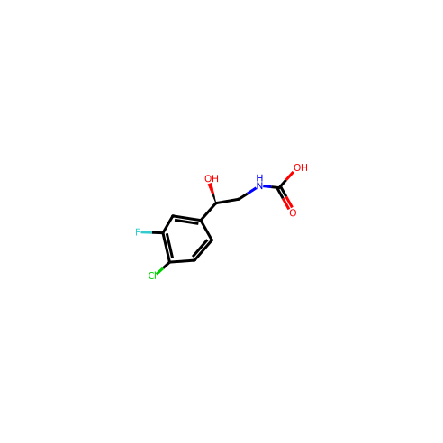 O=C(O)NC[C@H](O)c1ccc(Cl)c(F)c1